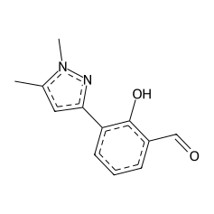 Cc1cc(-c2cccc(C=O)c2O)nn1C